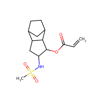 C=CC(=O)OC1C(NS(C)(=O)=O)CC2C3CCC(C3)C21